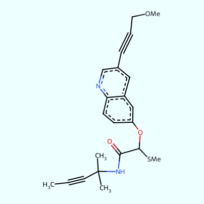 CC#CC(C)(C)NC(=O)C(Oc1ccc2ncc(C#CCOC)cc2c1)SC